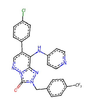 O=c1n(Cc2ccc(C(F)(F)F)cc2)nc2c(Nc3ccncc3)c(-c3ccc(Cl)cc3)cnn12